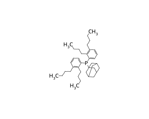 CCCCc1cccc(P(c2cccc(CCCC)c2CCCC)C23CC4CC(CC(C4)C2)C3)c1CCCC